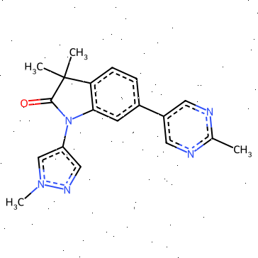 Cc1ncc(-c2ccc3c(c2)N(c2cnn(C)c2)C(=O)C3(C)C)cn1